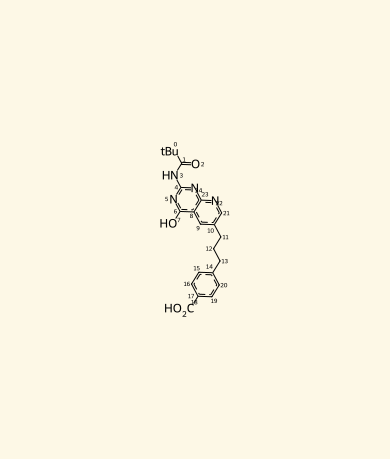 CC(C)(C)C(=O)Nc1nc(O)c2cc(CCCc3ccc(C(=O)O)cc3)cnc2n1